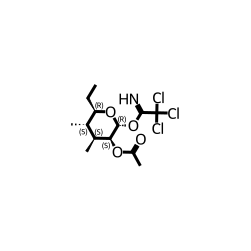 CC[C@H]1O[C@H](OC(=N)C(Cl)(Cl)Cl)[C@@H](OC(C)=O)[C@@H](C)[C@@H]1C